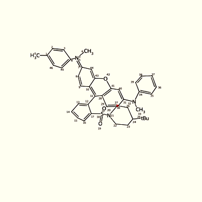 Cc1ccc(/[N+](C)=c2\ccc3c(-c4ccccc4S(=O)(=O)N4CCC(C(C)(C)C)CC4)c4ccc(N(C)c5ccccc5)cc4oc-3c2)cc1